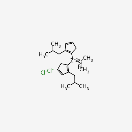 CC(C)CC1=[C]([Zr+2]([C]2=C(CC(C)C)C=CC2)[SiH](C)C)CC=C1.[Cl-].[Cl-]